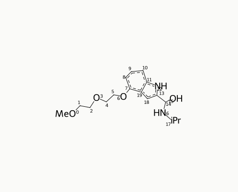 COCCOCCOc1cccc2[nH]c(C(O)NC(C)C)cc12